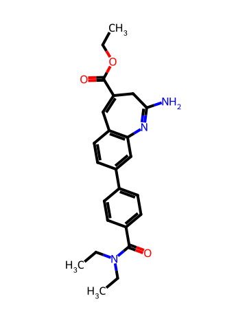 CCOC(=O)C1=Cc2ccc(-c3ccc(C(=O)N(CC)CC)cc3)cc2N=C(N)C1